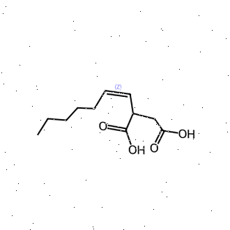 CCCCC/C=C\C(CC(=O)O)C(=O)O